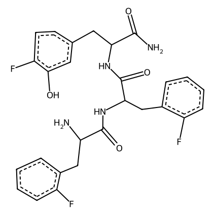 NC(=O)C(Cc1ccc(F)c(O)c1)NC(=O)C(Cc1ccccc1F)NC(=O)C(N)Cc1ccccc1F